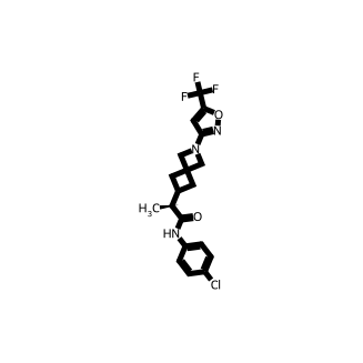 C[C@H](C(=O)Nc1ccc(Cl)cc1)C1CC2(C1)CN(c1cc(C(F)(F)F)on1)C2